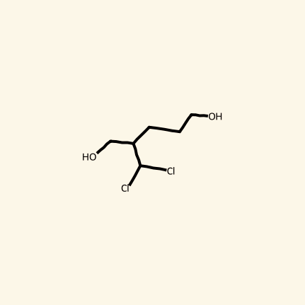 OCCCC(CO)C(Cl)Cl